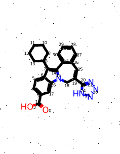 O=C(O)c1ccc2c(C3CCCCC3)c3n(c2c1)CC(c1nnn[nH]1)=Cc1ccccc1-3